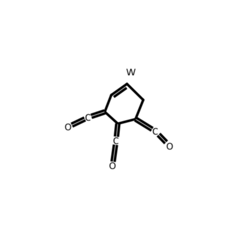 O=C=C1C=CCC(=C=O)C1=C=O.[W]